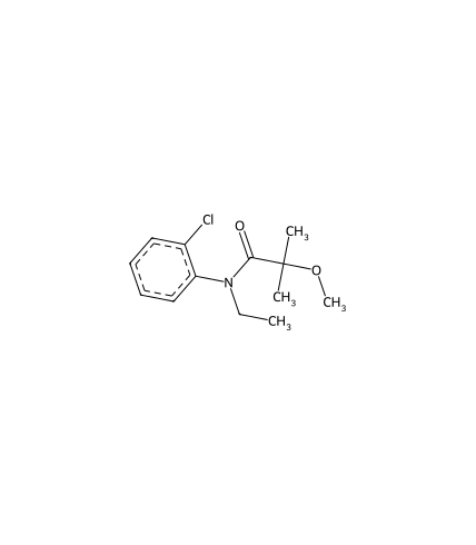 CCN(C(=O)C(C)(C)OC)c1ccccc1Cl